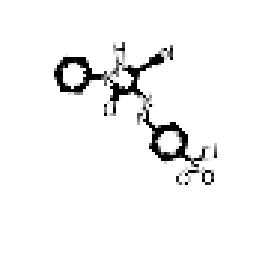 N#Cc1[nH]n(-c2ccccc2)c(=O)c1N=Nc1ccc(S(=O)(=O)Cl)cc1